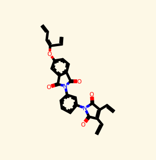 C=C/C=C(\C=C)Oc1ccc2c(c1)C(=O)N(c1cccc(N3C(=O)C(C=C)=C(C=C)C3=O)c1)C2=O